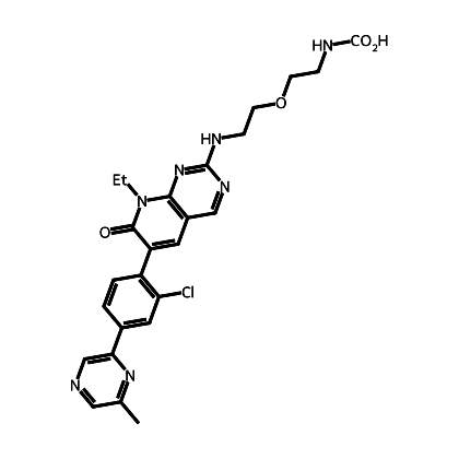 CCn1c(=O)c(-c2ccc(-c3cncc(C)n3)cc2Cl)cc2cnc(NCCOCCNC(=O)O)nc21